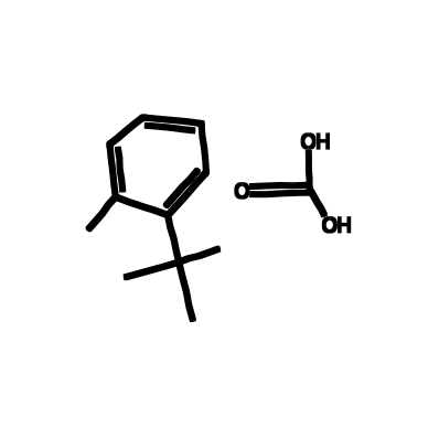 Cc1ccccc1C(C)(C)C.O=C(O)O